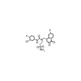 C[C@H](c1c[nH]c(=O)c2ccc(F)cc12)N(CCS(N)(=O)=O)C(=O)Nc1ccc(F)c(Cl)c1